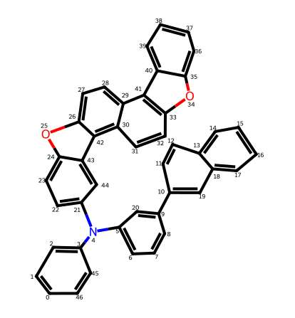 c1ccc(N(c2cccc(-c3ccc4ccccc4c3)c2)c2ccc3oc4ccc5c(ccc6oc7ccccc7c65)c4c3c2)cc1